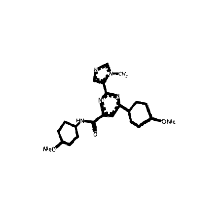 COC1CCC(NC(=O)c2cc(C3CCC(OC)CC3)nc(-c3cncn3C)n2)CC1